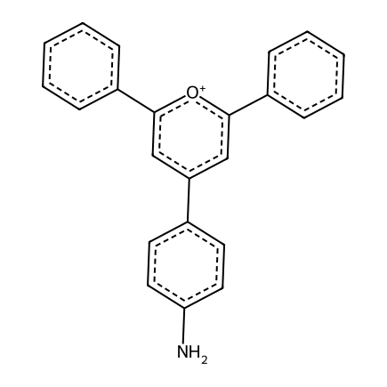 Nc1ccc(-c2cc(-c3ccccc3)[o+]c(-c3ccccc3)c2)cc1